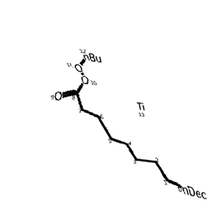 CCCCCCCCCCCCCCCCCC(=O)OOCCCC.[Ti]